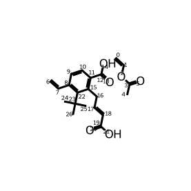 C=COC(C)=O.C=Cc1ccc(C(=O)O)c(C/C=C/C(=O)O)c1C(C)(C)C